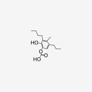 CCCCc1c(C)c(CCC)cc(OC(=O)O)c1O